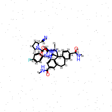 CNC(=O)c1ccc2c(c1)CCc1cc(C(=O)NC)ccc1C2(C[C@H](C)NCC(=O)N1CCC[C@H]1C#N)c1nn(-c2ccc(F)cc2)c(=O)[nH]1